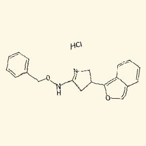 Cl.c1ccc(CONC2=NCC(c3occ4ccccc34)C2)cc1